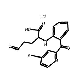 Cl.O=CCCC(Nc1ccccc1C(=O)c1cc(Br)ccn1)C(=O)O